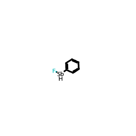 [F][SbH][c]1ccccc1